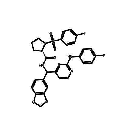 O=C(NC(c1ccc2c(c1)OCO2)c1ccnc(Nc2ccc(F)cc2)n1)[C@@H]1CCCN1S(=O)(=O)c1ccc(F)cc1